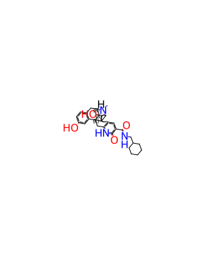 CN1CC[C@]23Cc4[nH]c(=O)c(C(=O)NCC5CCCCC5)cc4C[C@@]2(O)[C@H]1Cc1ccc(O)cc13